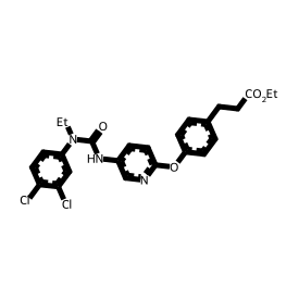 CCOC(=O)CCc1ccc(Oc2ccc(NC(=O)N(CC)c3ccc(Cl)c(Cl)c3)cn2)cc1